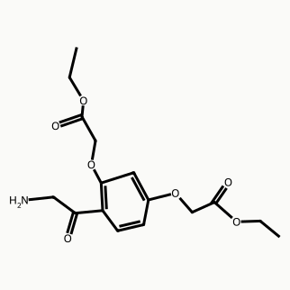 CCOC(=O)COc1ccc(C(=O)CN)c(OCC(=O)OCC)c1